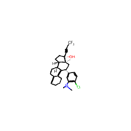 CN(C)c1cc([C@H]2C[C@@]3(C)[C@@H](CC[C@@]3(O)C#CC(F)(F)F)[C@@H]3CCC4=CCCCC4=C32)ccc1Cl